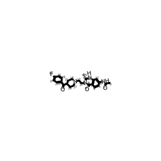 CC(=O)Nc1ccc2c(=O)n(CCN3CCC(C(=O)c4ccc(F)cc4)CC3)c(=S)[nH]c2c1